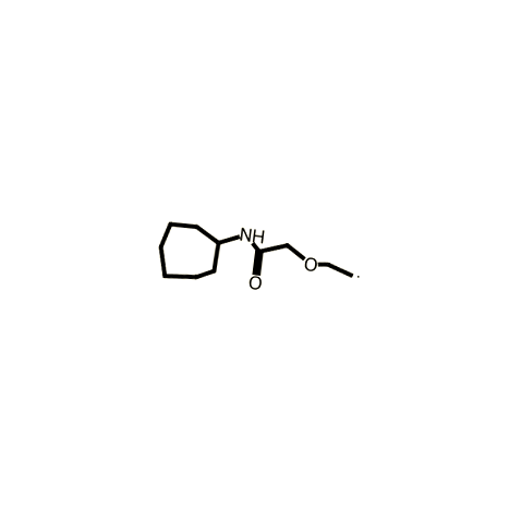 [CH2]COCC(=O)NC1CCCCCC1